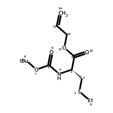 [CH2]CSC[C@H](NC(=O)OC(C)(C)C)C(=O)OCC=C